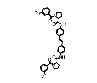 COc1cccc(C(=O)N2CCC[C@H]2C(=O)Nc2ccc(/C=C/c3ccc(NC(=O)[C@@H]4CCCN4C(=O)c4cccc(OC)c4)cc3)cc2)c1